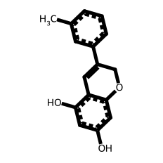 Cc1cccc(C2=Cc3c(O)cc(O)cc3OC2)c1